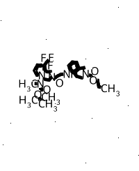 CCCOC(=O)N1CCc2c(cccc2NCC(=O)N(CCN(C)C(=O)OC(C)(C)C)Cc2ncccc2C(F)(F)F)C1